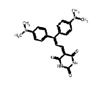 CN(C)c1ccc(C(=CC=C2C(=O)NC(=O)NC2=O)c2ccc(N(C)C)cc2)cc1